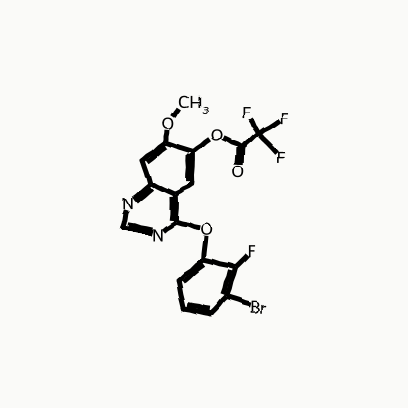 COc1cc2ncnc(Oc3cccc(Br)c3F)c2cc1OC(=O)C(F)(F)F